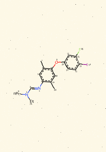 CCCN(C=Nc1cc(C)c(Oc2ccc(I)c(F)c2)cc1C)CC